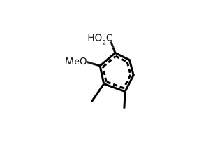 COc1c(C(=O)O)ccc(C)c1C